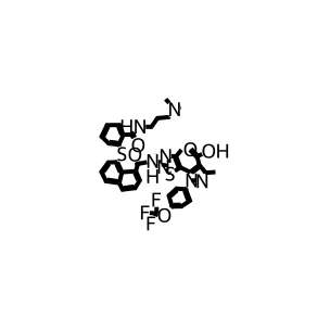 CNC(=O)c1cccc2cccc(Sc3ccccc3C(=O)NCCCN(C)C)c12.Cc1nnsc1-c1c(C(=O)O)c(C)nn1-c1ccc(OC(F)(F)F)cc1